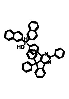 O[PH](c1ccc(-c2nc(-c3ccccc3)nc3c2C(c2ccccc2)(c2ccccc2)c2ccccc2-3)cc1)(c1ccc2ccccc2c1)c1ccc2ccccc2c1